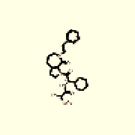 CC[C@H](NC)C(=O)N[C@H](C(=O)N1CCC2CCCN(C=Cc3ccccc3)C(=O)C21)C1CCCCC1